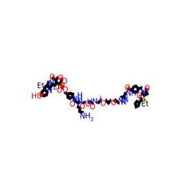 CCc1c2c(nc3ccc(O)cc13)-c1cc3c(c(=O)n1C2)COC(=O)C3(CC)OC(=O)OCc1ccc(NC(=O)[C@H](CCCCN)NC(=O)COCC(=O)NCC(I)OCCCOCCn2cc(CNC(=O)C3CCC(CN4C(=O)CC(SC(CC)(CC)C5CCCC5)C4=O)CC3)nn2)cc1